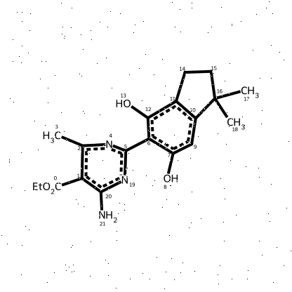 CCOC(=O)c1c(C)nc(-c2c(O)cc3c(c2O)CCC3(C)C)nc1N